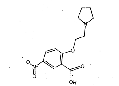 O=C(O)c1cc([N+](=O)[O-])ccc1OCCN1CCCC1